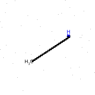 CCCCCCCCCCCCCCCCCCCCCCCCCCCCCCCCCCCCCCCCc1cc[nH]c1